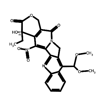 CC[C@@]1(O)C(=O)OCc2c1c([N+](=O)[O-])c1n(c2=O)Cc2c-1nc1ccccc1c2C(OC)OC